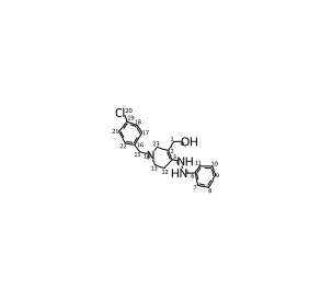 OCC1=C(NNc2ccccc2)CCN(Cc2ccc(Cl)cc2)C1